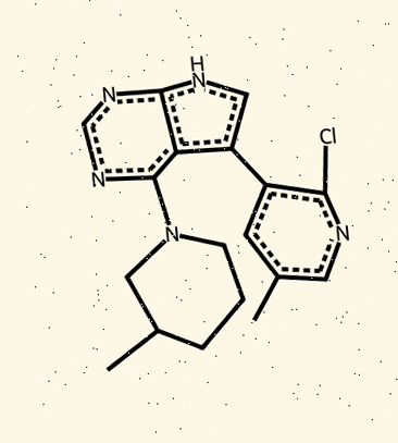 Cc1cnc(Cl)c(-c2c[nH]c3ncnc(N4CCCC(C)C4)c23)c1